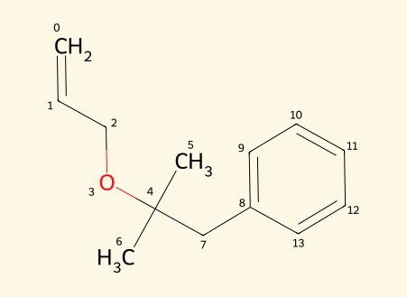 C=CCOC(C)(C)Cc1ccccc1